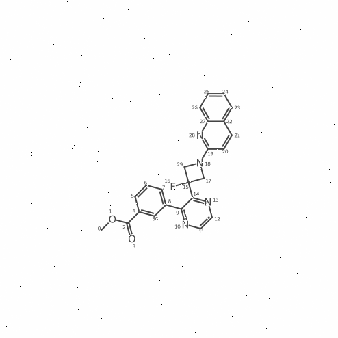 COC(=O)c1cccc(-c2nccnc2C2(F)CN(c3ccc4ccccc4n3)C2)c1